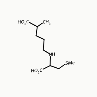 CSCC(NCCCC(C)C(=O)O)C(=O)O